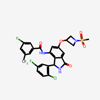 CS(=O)(=O)N1CC(Oc2cc(NC(=O)c3cc(F)cc(C(F)(F)F)c3)c3c(c2)C(=O)NC3c2cc(F)ccc2Cl)C1